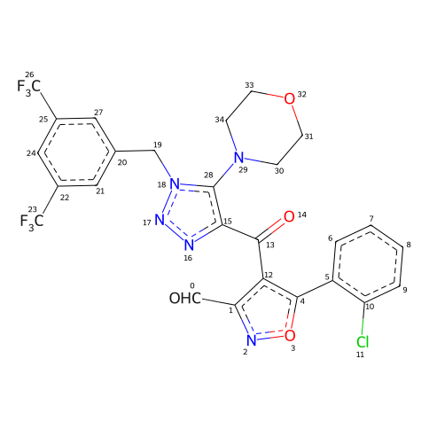 O=Cc1noc(-c2ccccc2Cl)c1C(=O)c1nnn(Cc2cc(C(F)(F)F)cc(C(F)(F)F)c2)c1N1CCOCC1